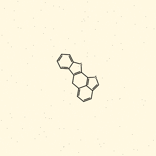 c1cc2c3c(scc3c1)-c1sc3ccccc3c1C2